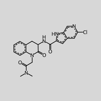 CN(C)C(=O)CN1C(=O)C(NC(=O)c2cc3cc(Cl)ncc3[nH]2)Cc2ccccc21